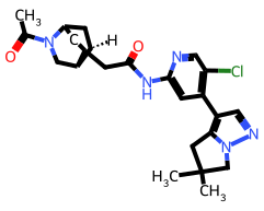 CC(=O)N1CC2CCC1C[C@H]2CC(=O)Nc1cc(-c2cnn3c2CC(C)(C)C3)c(Cl)cn1